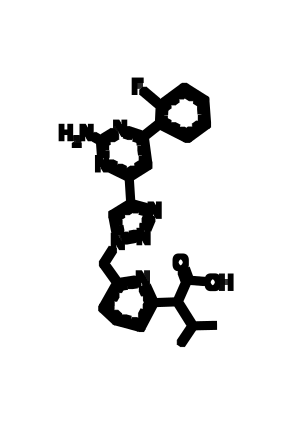 CC(C)C(C(=O)O)c1cccc(Cn2cc(-c3cc(-c4ccccc4F)nc(N)n3)nn2)n1